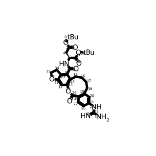 CC(C)(C)OC(=O)C[C@H](NC(=O)c1c2c(cc3c1CCCCc1cc(NC(=N)N)ccc1C(=O)O3)OCC2)C(=O)OC(C)(C)C